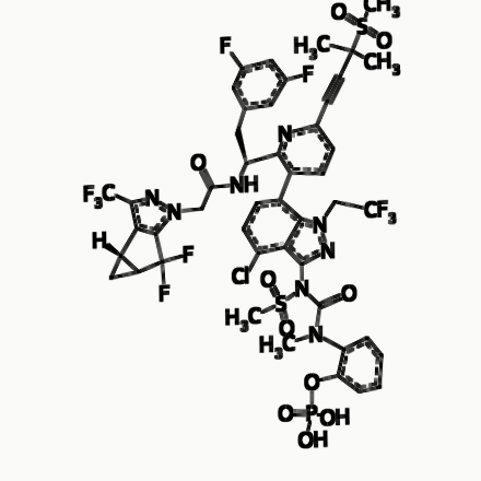 CN(C(=O)N(c1nn(CC(F)(F)F)c2c(-c3ccc(C#CC(C)(C)S(C)(=O)=O)nc3[C@H](Cc3cc(F)cc(F)c3)NC(=O)Cn3nc(C(F)(F)F)c4c3C(F)(F)C3C[C@H]43)ccc(Cl)c12)S(C)(=O)=O)c1ccccc1OP(=O)(O)O